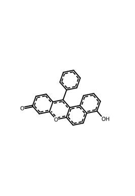 O=c1ccc2c(-c3ccccc3)c3c(ccc4c(O)cccc43)oc-2c1